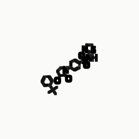 CC(C)(C)c1ccccc1OC1CCN(c2ccc(S(=O)(=O)Nc3nccs3)cc2)C1=O